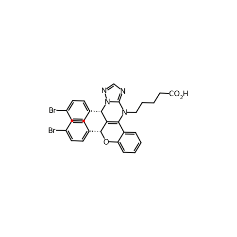 O=C(O)CCCCN1C2=C([C@H](c3ccc(Br)cc3)n3ncnc31)[C@@H](c1ccc(Br)cc1)Oc1ccccc12